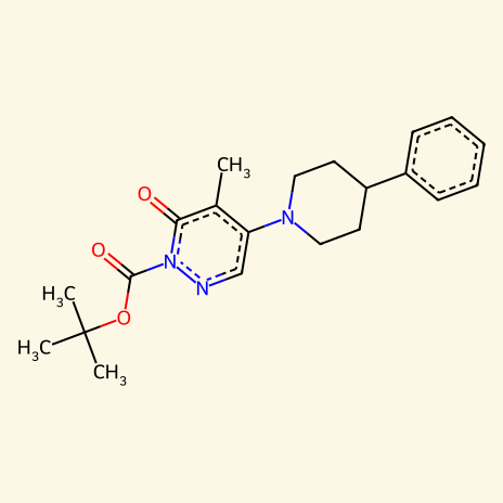 Cc1c(N2CCC(c3ccccc3)CC2)cnn(C(=O)OC(C)(C)C)c1=O